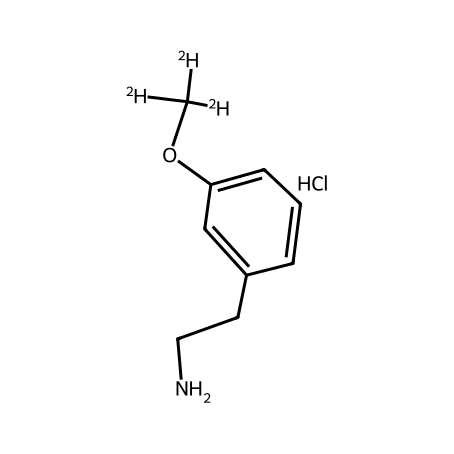 Cl.[2H]C([2H])([2H])Oc1cccc(CCN)c1